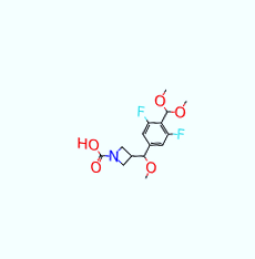 COC(OC)c1c(F)cc(C(OC)C2CN(C(=O)O)C2)cc1F